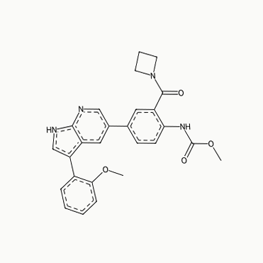 COC(=O)Nc1ccc(-c2cnc3[nH]cc(-c4ccccc4OC)c3c2)cc1C(=O)N1CCC1